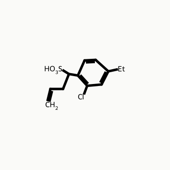 C=CCC(c1ccc(CC)cc1Cl)S(=O)(=O)O